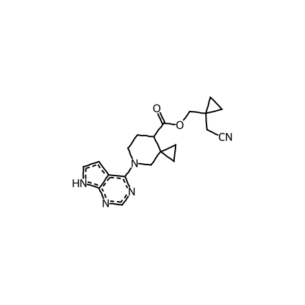 N#CCC1(COC(=O)C2CCN(c3ncnc4[nH]ccc34)CC23CC3)CC1